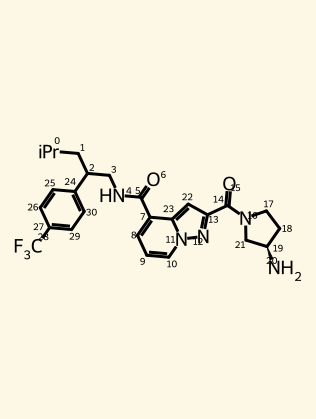 CC(C)CC(CNC(=O)c1cccn2nc(C(=O)N3CC[C@@H](N)C3)cc12)c1ccc(C(F)(F)F)cc1